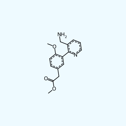 COC(=O)Cc1ccc(OC)c(-c2ncccc2CN)c1